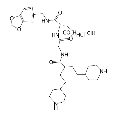 Cl.Cl.O=C(O)C[C@H](NC(=O)CNC(=O)C(CCC1CCNCC1)CCC1CCNCC1)C(=O)NCc1ccc2c(c1)OCO2